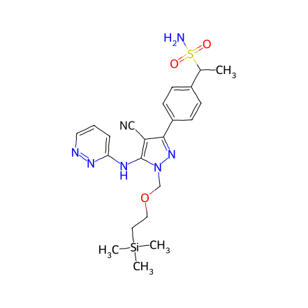 CC(c1ccc(-c2nn(COCC[Si](C)(C)C)c(Nc3cccnn3)c2C#N)cc1)S(N)(=O)=O